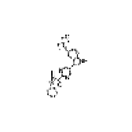 C[C@H](NC(=O)c1ncc(-c2c[nH]c3ncc(N4CCC45COC5)cc23)cn1)c1ccccc1